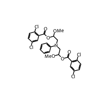 COC(CN(CC(OC)OC(=O)c1cc(Cl)ccc1Cl)c1ccccc1)OC(=O)c1cc(Cl)ccc1Cl